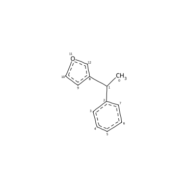 CC(c1ccccc1)c1ccoc1